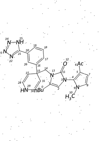 CCCCc1cn(-c2c(C(C)=O)ccn2C)c(=O)n1CC1(c2cccc(-c3nnn[nH]3)c2)C=CNC=C1